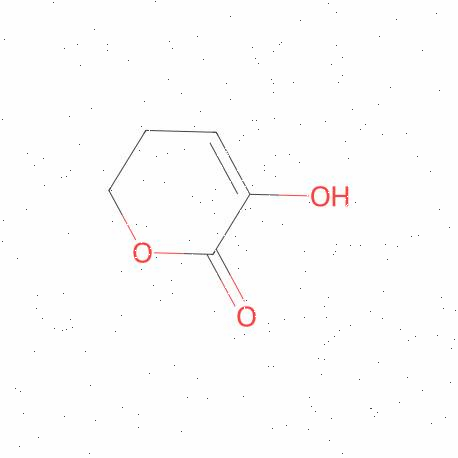 O=C1OCCC=C1O